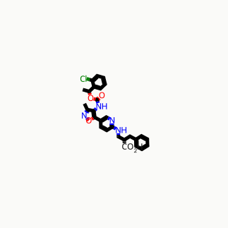 Cc1noc(-c2ccc(NCC(Cc3ccccc3)C(=O)O)nc2)c1NC(=O)OC(C)c1ccccc1Cl